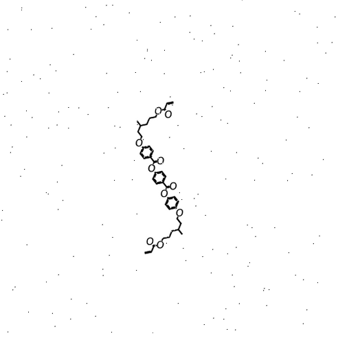 C=CC(=O)OCCCC(C)CCOc1ccc(OC(=O)c2ccc(OC(=O)c3ccc(OCCC(C)CCCOC(=O)C=C)cc3)cc2)cc1